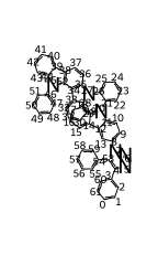 c1ccc(-c2nnn(-c3ccc4c(c3)c3ccccc3n4-c3ccccc3-n3c4ccccc4c4c3ccc3c5ccccc5n(-c5ccccc5)c34)c2-c2ccccc2)cc1